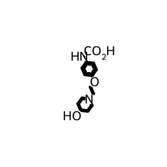 O=C(O)Nc1ccc(OCCN2CCC(O)CC2)cc1